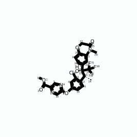 COC(=O)c1cnc(Oc2ccc([C@@H](C)[C@@](O)(c3ccc4c(c3)N(C)C(=O)CO4)C(F)(F)F)c(Cl)c2)cn1